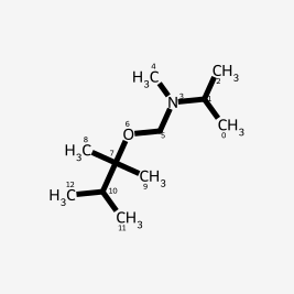 CC(C)N(C)COC(C)(C)C(C)C